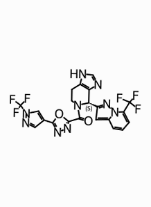 O=C(c1nnc(-c2cnn(C(F)(F)F)c2)o1)N1CCc2[nH]cnc2[C@H]1c1cc2cccc(C(F)(F)F)n2n1